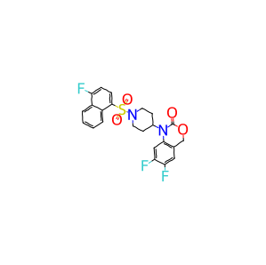 O=C1OCc2cc(F)c(F)cc2N1C1CCN(S(=O)(=O)c2ccc(F)c3ccccc23)CC1